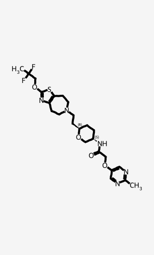 Cc1ncc(OCC(=O)N[C@H]2CC[C@H](CCN3CCc4nc(OCC(C)(F)F)sc4CC3)OC2)cn1